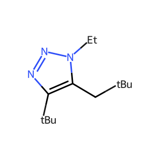 CCn1nnc(C(C)(C)C)c1CC(C)(C)C